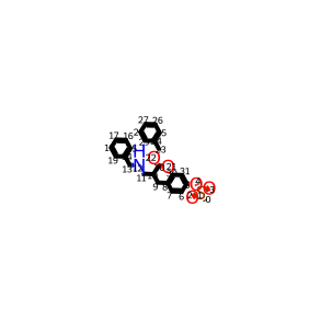 CS(=O)(=O)Oc1ccc(CC(CNCc2ccccc2)C(=O)OCc2ccccc2)cc1